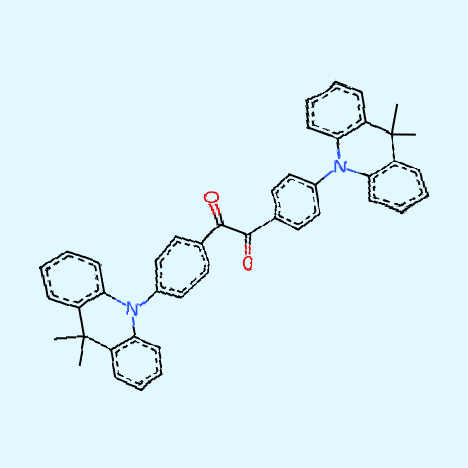 CC1(C)c2ccccc2N(c2ccc(C(=O)C(=O)c3ccc(N4c5ccccc5C(C)(C)c5ccccc54)cc3)cc2)c2ccccc21